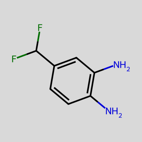 Nc1ccc(C(F)F)cc1N